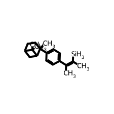 CC([SiH3])=C(C)c1ccc(C2(C)CCC3CC2C3(C)C)cc1